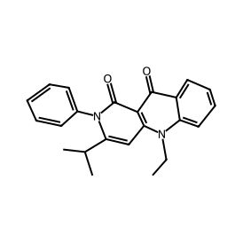 CCn1c2ccccc2c(=O)c2c(=O)n(-c3ccccc3)c(C(C)C)cc21